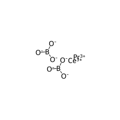 [Ce+3].[O-]B([O-])[O-].[O-]B([O-])[O-].[Pr+3]